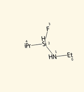 CCN[SiH](F)C(C)C